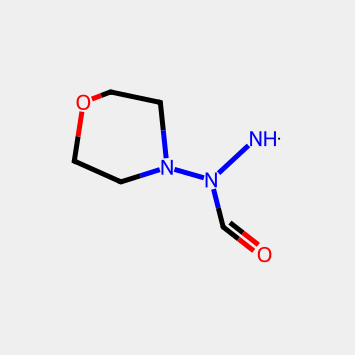 [NH]N(C=O)N1CCOCC1